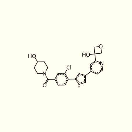 O=C(c1ccc(-c2cc(-c3ccnc(C4(O)COC4)c3)cs2)c(Cl)c1)N1CCC(O)CC1